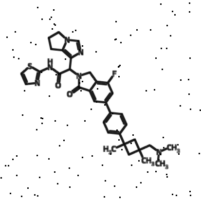 CN(C)CC1(C)CC(C)(c2ccc(-c3cc(F)c4c(c3)C(=O)N(C(C(=O)Nc3nccs3)c3ncn5c3CCC5)C4)cc2)C1